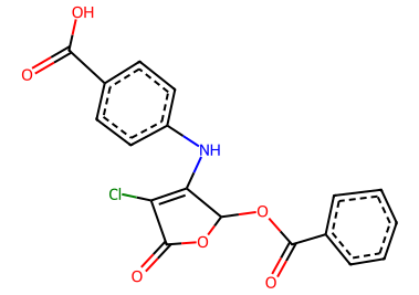 O=C1OC(OC(=O)c2ccccc2)C(Nc2ccc(C(=O)O)cc2)=C1Cl